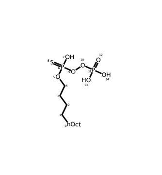 CCCCCCCCCCCCOP(O)(=S)OOP(=O)(O)O